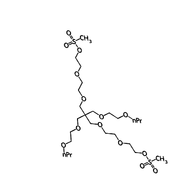 CCCOCCOCC(COCCOCCC)(COCCOCCOS(C)(=O)=O)COCCOCCOS(C)(=O)=O